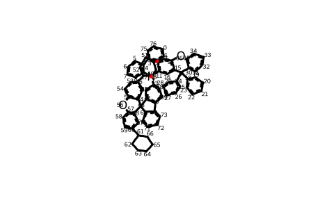 c1ccc(-c2ccccc2N(c2ccc3c(c2)C(c2ccccc2)(c2ccccc2)c2ccccc2O3)c2ccc3c(c2)C2(c4cc(C5CCCCC5)ccc4Oc4ccc(C5CCCCC5)cc42)c2ccccc2-3)cc1